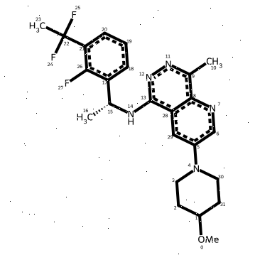 COC1CCN(c2cnc3c(C)nnc(N[C@H](C)c4cccc(C(C)(F)F)c4F)c3c2)CC1